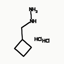 Cl.Cl.NNCC1CCC1